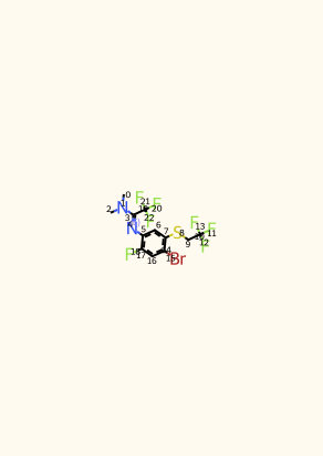 CN(C)/C(=N/c1cc(SCC(F)(F)F)c(Br)cc1F)C(F)(F)F